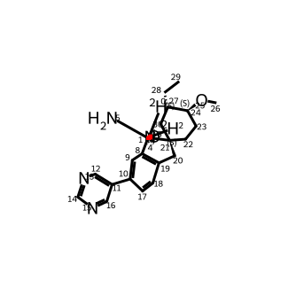 [2H]C1([2H])OC(N)=N[C@]12c1cc(-c3cncnc3)ccc1C[C@@]21CC[C@H](OC)[C@@H](CC)C1